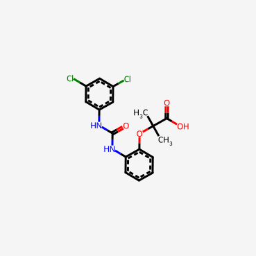 CC(C)(Oc1ccccc1NC(=O)Nc1cc(Cl)cc(Cl)c1)C(=O)O